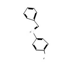 COc1ccc([N+]([O-])=Cc2ccccc2)cc1